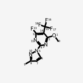 COc1nc(-n2ccc(C)n2)nc(F)c1C(F)(F)F